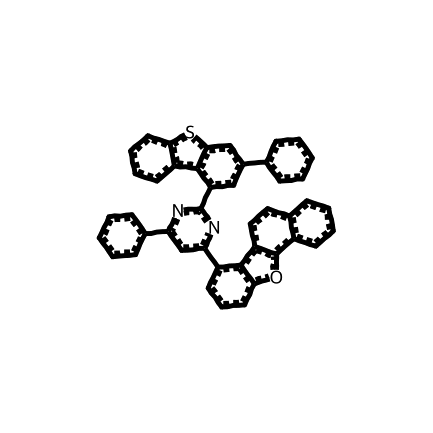 c1ccc(-c2cc(-c3nc(-c4ccccc4)cc(-c4cccc5oc6c7ccccc7ccc6c45)n3)c3c(c2)sc2ccccc23)cc1